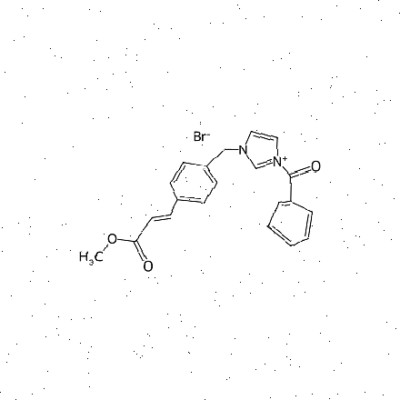 COC(=O)/C=C/c1ccc(Cn2cc[n+](C(=O)c3ccccc3)c2)cc1.[Br-]